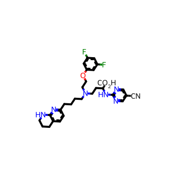 N#Cc1cnc(NC(CCN(CCCCc2ccc3c(n2)NCCC3)CCOc2cc(F)cc(F)c2)C(=O)O)nc1